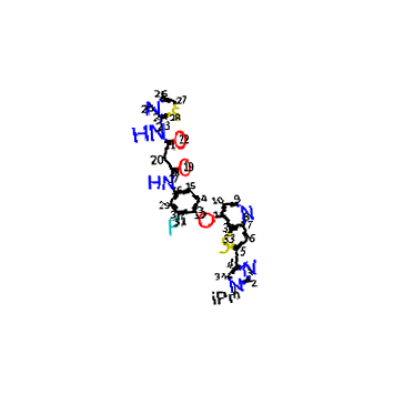 CC(C)n1cnc(-c2cc3nccc(Oc4ccc(NC(=O)CC(=O)Nc5nccs5)cc4F)c3s2)c1